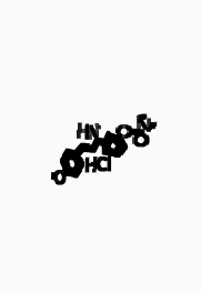 CNC(CCc1ccc(OC)cc1)c1cccc(OC(=O)N(C)C)c1.Cl